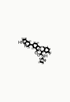 Cc1ccc(F)cc1C(C(=O)Nc1nccs1)N1Cc2ccc(-c3cnc4[nH]ccc4c3)cc2C1=O